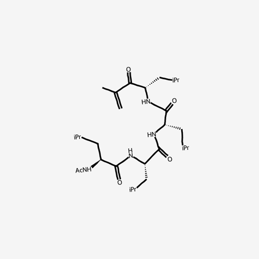 C=C(C)C(=O)[C@H](CC(C)C)NC(=O)[C@H](CC(C)C)NC(=O)[C@H](CC(C)C)NC(=O)[C@H](CC(C)C)NC(C)=O